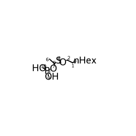 CCCCCCCCOSC(C)OP(O)O